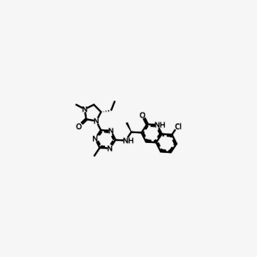 CC[C@H]1CN(C)C(=O)N1c1nc(C)nc(N[C@@H](C)c2cc3cccc(Cl)c3[nH]c2=O)n1